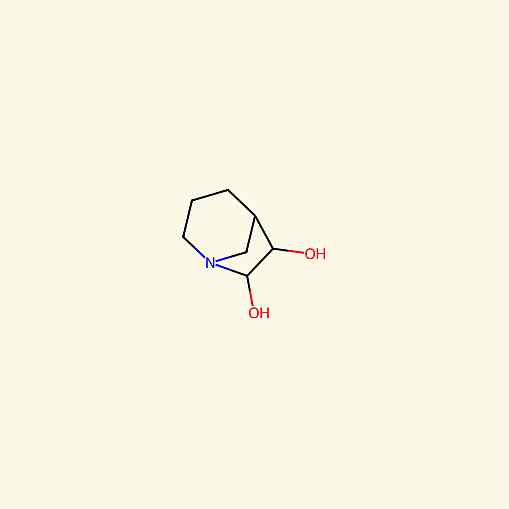 OC1C2CCCN(C2)C1O